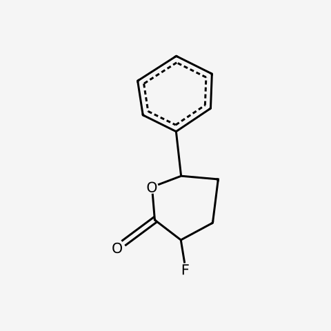 O=C1OC(c2ccccc2)CCC1F